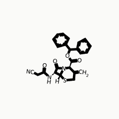 C=C1CS[C@@H]2[C@H](NC(=O)CC#N)C(=O)N2[C@H]1C(=O)OC(c1ccccc1)c1ccccc1